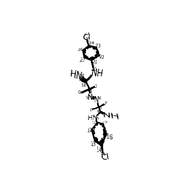 CC(C)(N=NC(C)(C)C(=N)Nc1ccc(Cl)cc1)C(=N)Nc1ccc(Cl)cc1